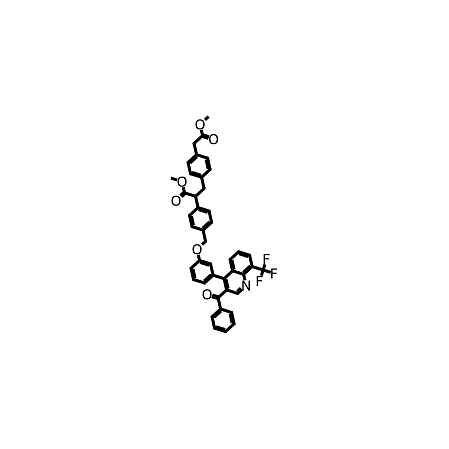 COC(=O)Cc1ccc(CC(C(=O)OC)c2ccc(COc3cccc(-c4c(C(=O)c5ccccc5)cnc5c(C(F)(F)F)cccc45)c3)cc2)cc1